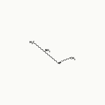 CCCCCCCCCCC(N)CCCCCCCCCCC[C@H]1C[C@H]1CCCCCCCC